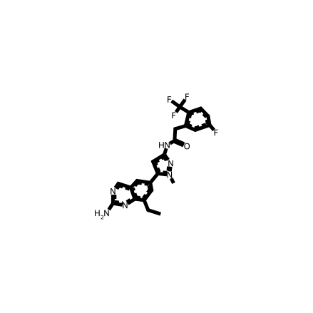 CCc1cc(-c2cc(NC(=O)Cc3cc(F)ccc3C(F)(F)F)nn2C)cc2cnc(N)nc12